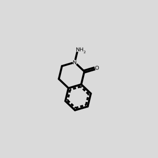 NN1CCc2ccccc2C1=O